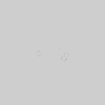 O=C(O)C(=O)O.OC1(c2cncc3ccccc23)CCN(CCCOc2ccccc2)CC1